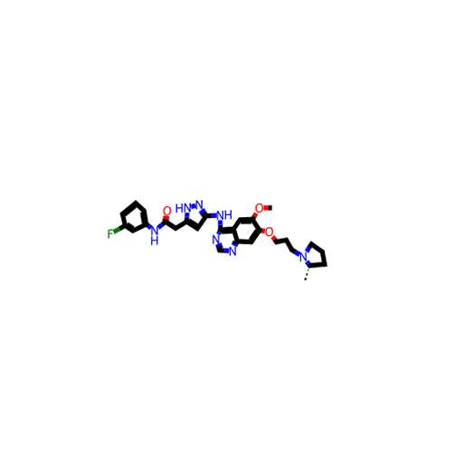 COc1cc2c(Nc3cc(CC(=O)Nc4cccc(F)c4)[nH]n3)ncnc2cc1OCCCN1CCC[C@@H]1C